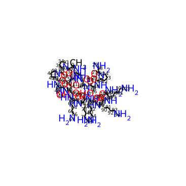 C[C@H](NC(=O)CNC(=O)[C@H](CO)NC(=O)[C@H](CO)NC(=O)[C@@H]1CCCN1C(=O)CN)C(=O)N1CCC[C@H]1C(=O)N1CCC[C@H]1C(=O)N[C@@H](CO)C(=O)N[C@@H](CCCCN)C(=O)N[C@@H](CCCCN)C(=O)N[C@@H](CCCCN)C(=O)N[C@@H](CCCCN)C(=O)N[C@@H](CCCCN)C(=O)N[C@@H](CCCCN)C(N)=O